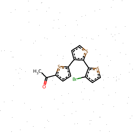 CC(=O)c1ccc(-c2ccsc2-c2sccc2Br)s1